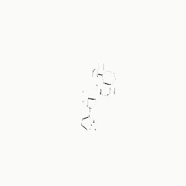 Cc1nc(-c2cccnc2)sc1-c1cnc2c(n1)/C(=N/O)CCC2